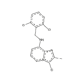 Cc1nc2c(NCc3c(Cl)cccc3Cl)cccn2c1Cl